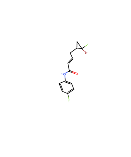 O=C(C=CCC1CC1(F)Br)Nc1ccc(F)cc1